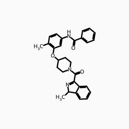 Cc1ccc(NC(=O)c2ccccc2)cc1OC1CCN(C(=O)C2=NC(C)c3ccccc32)CC1